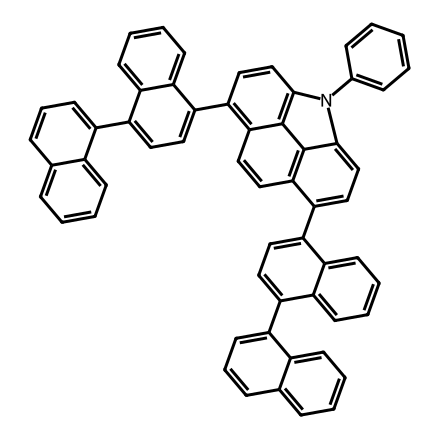 c1ccc(-n2c3ccc(-c4ccc(-c5cccc6ccccc56)c5ccccc45)c4ccc5c(-c6ccc(-c7cccc8ccccc78)c7ccccc67)ccc2c5c43)cc1